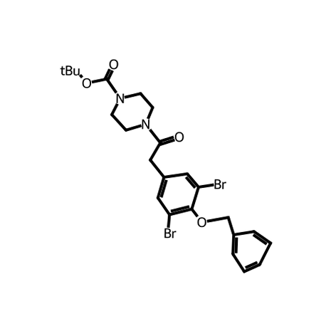 CC(C)(C)OC(=O)N1CCN(C(=O)Cc2cc(Br)c(OCc3ccccc3)c(Br)c2)CC1